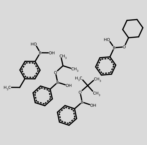 CC(C)(C)OB(O)c1ccccc1.CC(C)OB(O)c1ccccc1.CCc1ccc(B(O)O)cc1.OB(OC1CCCCC1)c1ccccc1